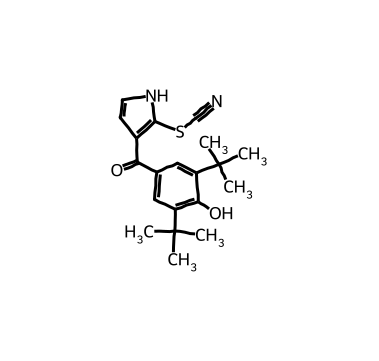 CC(C)(C)c1cc(C(=O)c2cc[nH]c2SC#N)cc(C(C)(C)C)c1O